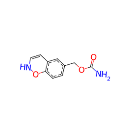 NC(=O)OCc1ccc2c(c1)C=CNO2